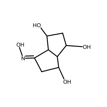 ON=C1CC(O)C2C(O)CC(O)C12